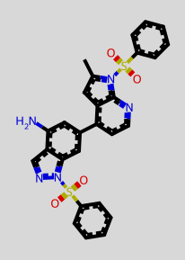 Cc1cc2c(-c3cc(N)c4cnn(S(=O)(=O)c5ccccc5)c4c3)ccnc2n1S(=O)(=O)c1ccccc1